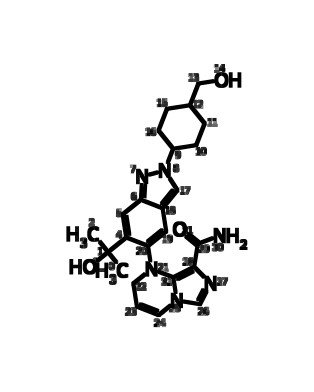 CC(C)(O)c1cc2nn(C3CCC(CO)CC3)cc2cc1N1CC=Cn2cnc(C(N)=O)c21